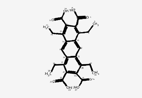 CCc1c(C(=O)O)c(C(=O)O)c(CC)c2cc3c(CC)c(C(=O)O)c(C(=O)O)c(CC)c3cc12